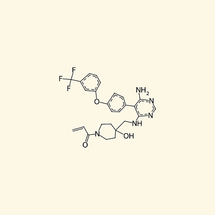 C=CC(=O)N1CCC(O)(CNc2ncnc(N)c2-c2ccc(Oc3cccc(C(F)(F)F)c3)cc2)CC1